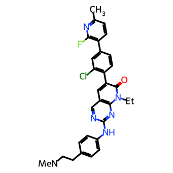 CCn1c(=O)c(-c2ccc(-c3ccc(C)nc3F)cc2Cl)cc2cnc(Nc3ccc(CCNC)cc3)nc21